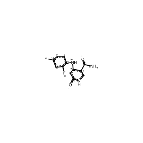 NC(=O)c1c[nH]c(=O)cc1Nc1ccc(I)cc1F